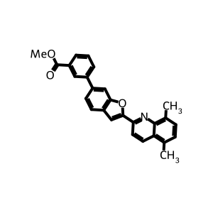 COC(=O)c1cccc(-c2ccc3cc(-c4ccc5c(C)ccc(C)c5n4)oc3c2)c1